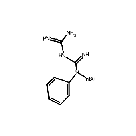 CCCCN(C(=N)NC(=N)N)c1ccccc1